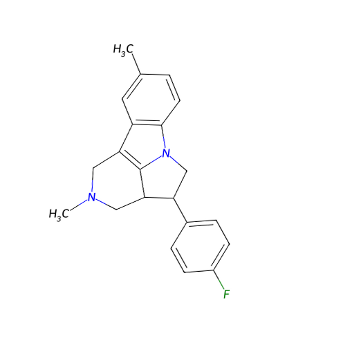 Cc1ccc2c(c1)c1c3n2CC(c2ccc(F)cc2)C3CN(C)C1